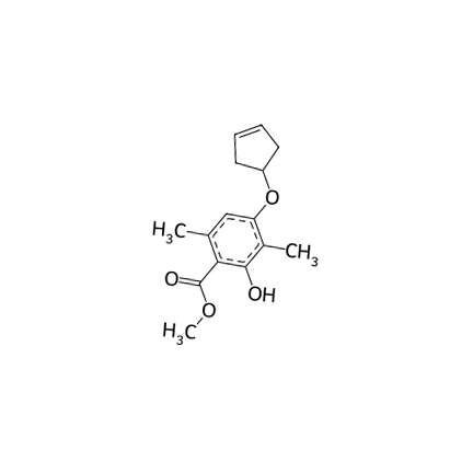 COC(=O)c1c(C)cc(OC2CC=CC2)c(C)c1O